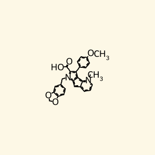 COc1ccc(-c2c(C(=O)O)n(Cc3ccc4c(c3)OCO4)c3cc4cccn(C)c-4c23)cc1